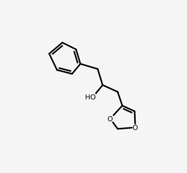 OC(CC1=COCO1)Cc1ccccc1